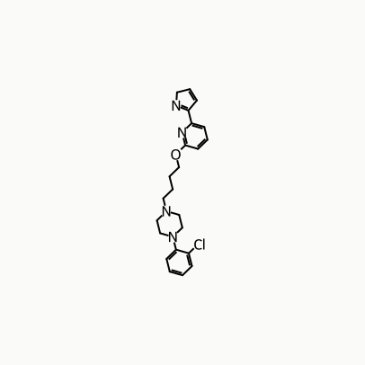 Clc1ccccc1N1CCN(CCCCOc2cccc(C3=NCC=C3)n2)CC1